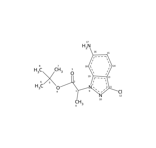 CC(C(=O)OC(C)(C)C)n1nc(Cl)c2ccc(N)cc21